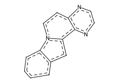 c1ccc2c(c1)cc1c3nccnc3ccn21